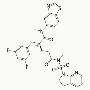 CN(C(=O)[C@@H](CCC(=O)N(C)S(=O)(=O)N1CCc2cccnc21)Cc1cc(F)cc(F)c1)c1ccc2scnc2c1